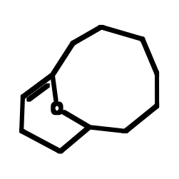 C1=C2CCCCCCC(CC1)O2